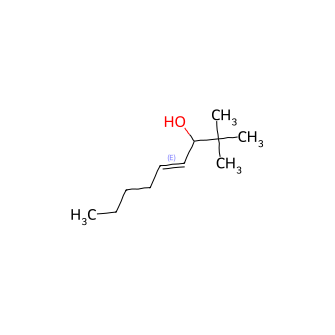 CCCC/C=C/C(O)C(C)(C)C